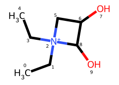 CC[N+]1(CC)CC(O)C1O